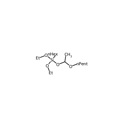 CCCCCC[Si](OCC)(OCC)OC(C)OCCCCC